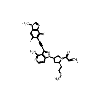 C=CC(=O)N1CC(n2nc(C#Cc3c(F)cc4c(ncn4C)c3F)c3c(N)nccc32)C[C@@H]1CCOC